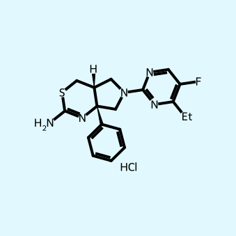 CCc1nc(N2C[C@H]3CSC(N)=N[C@@]3(c3ccccc3)C2)ncc1F.Cl